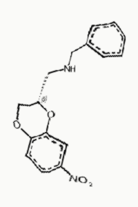 O=[N+]([O-])c1ccc2c(c1)O[C@@H](CNCc1ccccc1)CO2